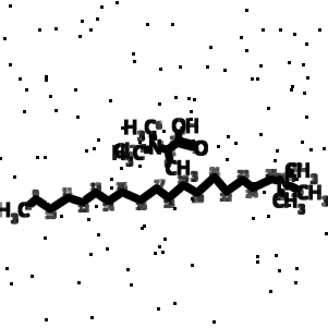 CC(C(=O)O)N(C)C.CCCCCCCCCCCCCCCCCC[N+](C)(C)C.[Cl-]